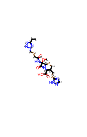 CCc1nnn(CSCC(=O)NC2(OC)C(=O)N3C(C(=O)O)=C(CSc4ncn[nH]4)CSC32)n1